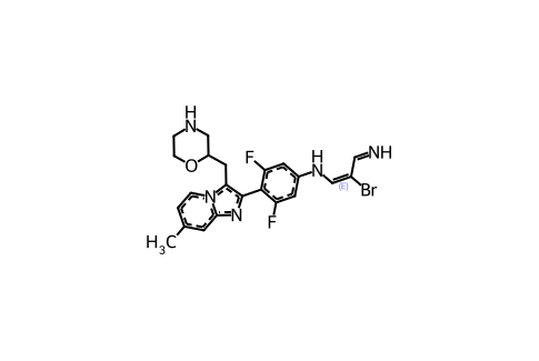 Cc1ccn2c(CC3CNCCO3)c(-c3c(F)cc(N/C=C(/Br)C=N)cc3F)nc2c1